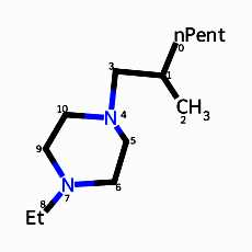 CCCCCC(C)CN1CCN(CC)CC1